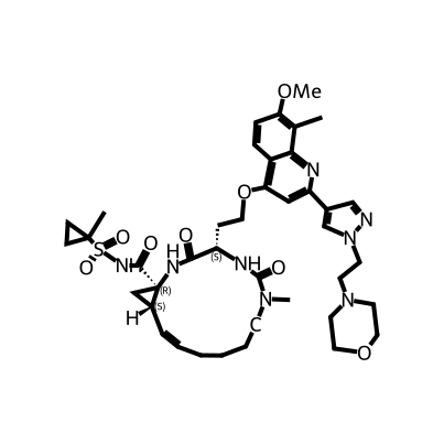 COc1ccc2c(OCC[C@@H]3NC(=O)N(C)CCCCC=C[C@@H]4C[C@@]4(C(=O)NS(=O)(=O)C4(C)CC4)NC3=O)cc(-c3cnn(CCN4CCOCC4)c3)nc2c1C